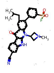 CC(C)Cc1cc2c(=O)c3c4ccc(C#N)cc4[nH]c3n(C3CN(C)C3)c2cc1-c1cccc(S(=O)(=O)F)c1